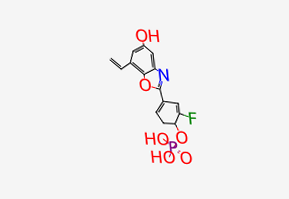 C=Cc1cc(O)cc2nc(C3=CCC(OP(=O)(O)O)C(F)=C3)oc12